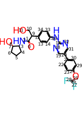 O=C(N[C@H]1CCC[C@H]1O)C(CO)c1ccc(Nc2ncc(-c3ccc(OC(F)F)cc3)cn2)cc1